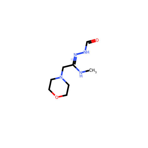 CN/C(CN1CCOCC1)=N\NC=O